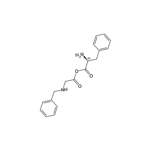 N[C@@H](Cc1ccccc1)C(=O)OC(=O)CNCc1ccccc1